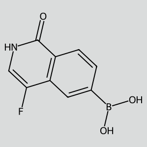 O=c1[nH]cc(F)c2cc(B(O)O)ccc12